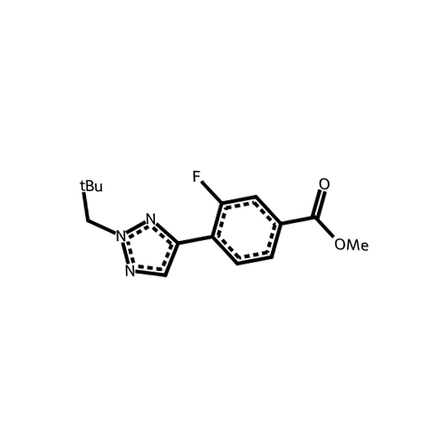 COC(=O)c1ccc(-c2cnn(CC(C)(C)C)n2)c(F)c1